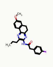 CCCc1nc2c(nc1NC(=O)Cc1ccc(I)cc1)CCc1cc(OC)ccc1-2